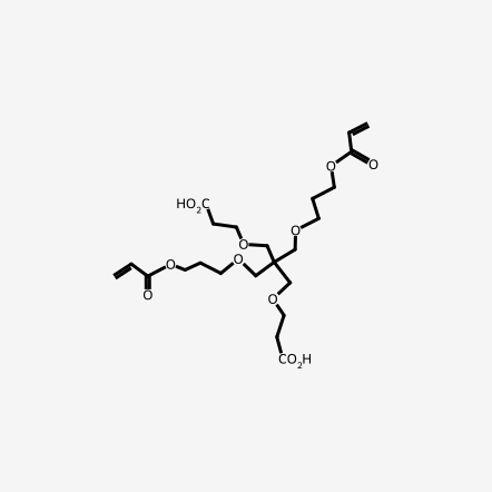 C=CC(=O)OCCCOCC(COCCCOC(=O)C=C)(COCCC(=O)O)COCCC(=O)O